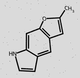 Cc1cc2cc3cc[nH]c3cc2o1